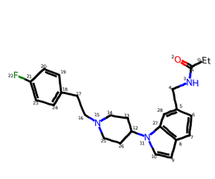 CCC(=O)NCc1ccc2ccn(C3CCN(CCc4ccc(F)cc4)CC3)c2c1